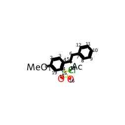 COc1ccc(C(Cc2ccccc2)C(C)=O)c(S(=O)(=O)Cl)c1